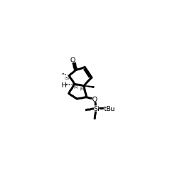 C[C@@H]1C(=O)C=C[C@]2(C)C(O[Si](C)(C)C(C)(C)C)CC[C@@H]12